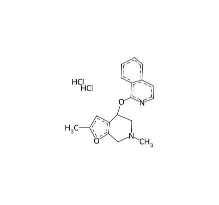 Cc1cc2c(o1)CN(C)CC2Oc1nccc2ccccc12.Cl.Cl